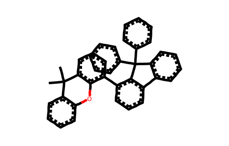 CC1(C)c2ccccc2Oc2c(-c3cccc4c3C(c3ccccc3)(c3ccccc3)c3ccccc3-4)cccc21